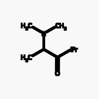 CC(C)C(=O)C(C)N(C)C